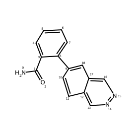 NC(=O)c1ccccc1-c1ccc2cnncc2c1